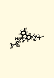 CCOC(=O)Cc1ccc(OC)c(-c2cc(C)ccc2CNCCC(=O)C2CC2)c1